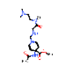 CCC(C)OC(=O)C1(NC(=O)C(F)(F)F)C=CN(CNCC(=O)N(CC)CCN(C)C)C=C1